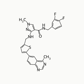 Cc1ncnc2ccc(-c3ccc(CNc4nn(C)cc4C(=O)NCc4ccc(F)c(F)c4)s3)cc12